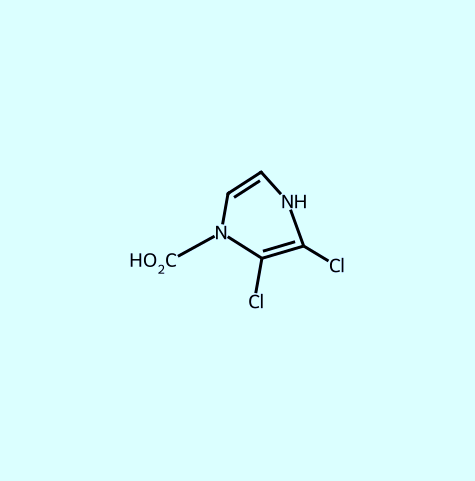 O=C(O)N1C=CNC(Cl)=C1Cl